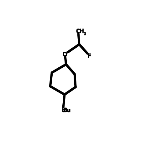 CC(F)OC1CCC(C(C)(C)C)CC1